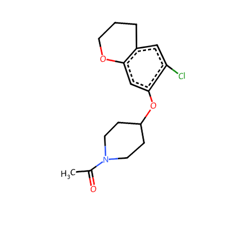 CC(=O)N1CCC(Oc2cc3c(cc2Cl)CCCO3)CC1